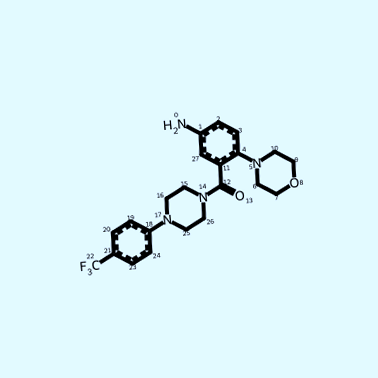 Nc1ccc(N2CCOCC2)c(C(=O)N2CCN(c3ccc(C(F)(F)F)cc3)CC2)c1